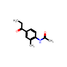 CCC(=O)c1ccc(NC(C)=O)c(C)c1